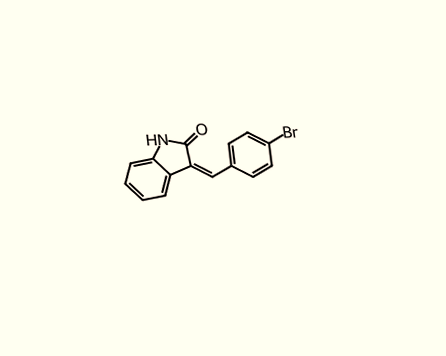 O=C1Nc2ccccc2C1=Cc1ccc(Br)cc1